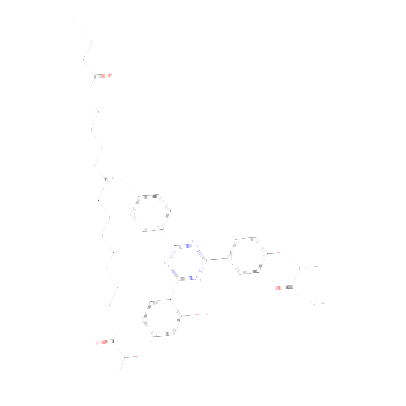 COC(=O)C(C)Oc1ccc(-c2nc(-c3ccc(OC)cc3)nc(-c3ccc(OC(C)C(=O)OCCCCCCCCCCCCOC(=O)CCC(C)=O)cc3O)n2)c(O)c1